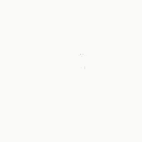 COC(O)c1cccc2ccccc12